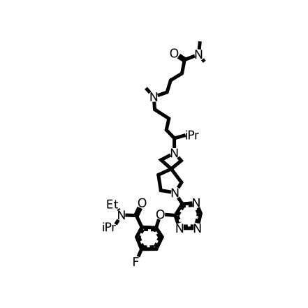 CCN(C(=O)c1cc(F)ccc1Oc1nncnc1N1CCC2(C1)CN(C(CCCN(C)CCCC(=O)N(C)C)C(C)C)C2)C(C)C